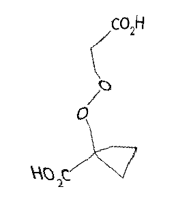 O=C(O)COOC1(C(=O)O)CC1